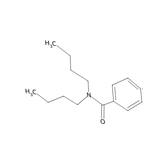 CCCCN(CCCC)C(=O)c1cc[c]cc1